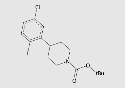 CC(C)(C)OC(=O)N1CCC(c2cc(Cl)ccc2I)CC1